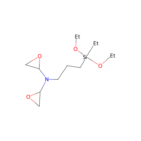 CCO[Si](CC)(CCCN(C1CO1)C1CO1)OCC